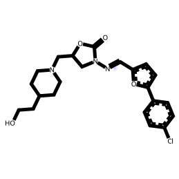 O=C1OC(CN2CCC(CCO)CC2)CN1/N=C/c1ccc(-c2ccc(Cl)cc2)o1